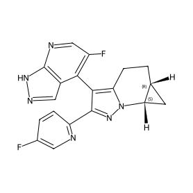 Fc1ccc(-c2nn3c(c2-c2c(F)cnc4[nH]ncc24)CC[C@@H]2C[C@@H]23)nc1